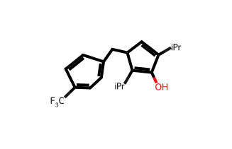 CC(C)C1=CC(Cc2ccc(C(F)(F)F)cc2)C(C(C)C)=C1O